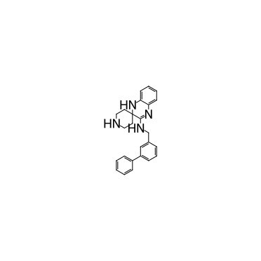 c1ccc(-c2cccc(CNC3=Nc4ccccc4NC34CCNCC4)c2)cc1